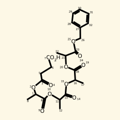 CC(OC(=O)CCC(=O)O)C(=O)OC(C)C(=O)OC(C)C(=O)OC(C)C(=O)OCc1ccccc1